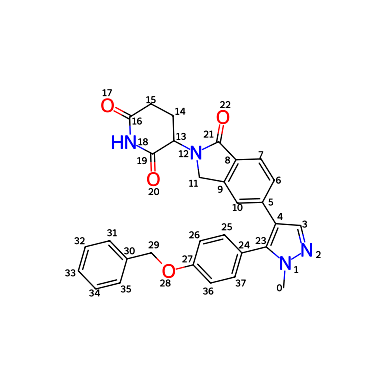 Cn1ncc(-c2ccc3c(c2)CN(C2CCC(=O)NC2=O)C3=O)c1-c1ccc(OCc2ccccc2)cc1